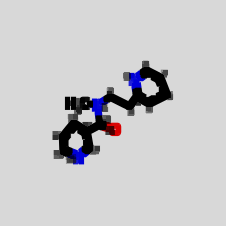 CN(CCc1ccccn1)C(=O)c1cccnc1